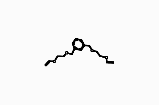 C=COCCOCc1cccc(COCCOC=C)c1